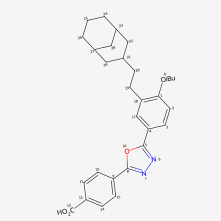 CC(C)COc1ccc(-c2nnc(-c3ccc(C(=O)O)cc3)o2)cc1CCC1CC2CCCC(C2)C1